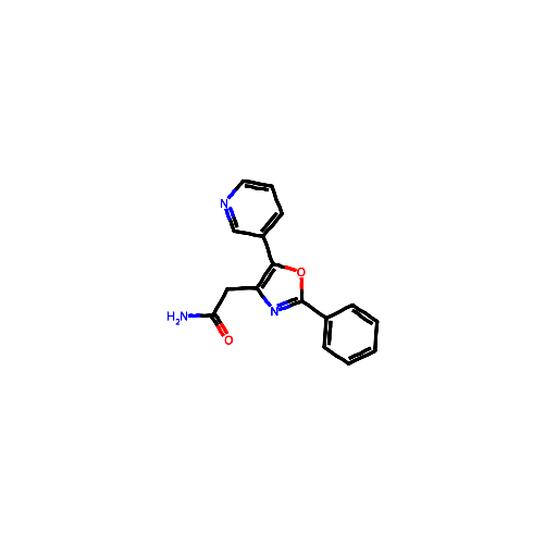 NC(=O)Cc1nc(-c2ccccc2)oc1-c1cccnc1